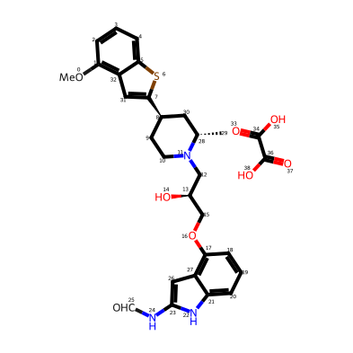 COc1cccc2sc([C@@H]3CCN(C[C@H](O)COc4cccc5[nH]c(NC=O)cc45)[C@@H](C)C3)cc12.O=C(O)C(=O)O